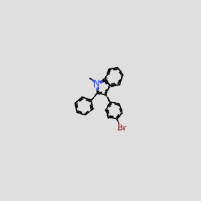 Cn1c(-c2ccccc2)c(-c2ccc(Br)cc2)c2ccccc21